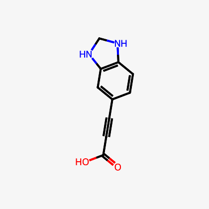 O=C(O)C#Cc1ccc2c(c1)NCN2